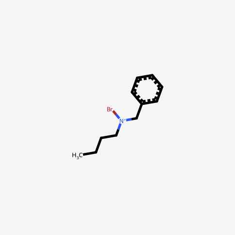 CCCC[N+](Br)Cc1ccccc1